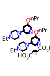 CCCOc1cncc(N2CCN(CC)CC2)c1.CCCOc1cncc(N2CCN(CC)CC2)c1.O=C(O)/C=C/C(=O)O